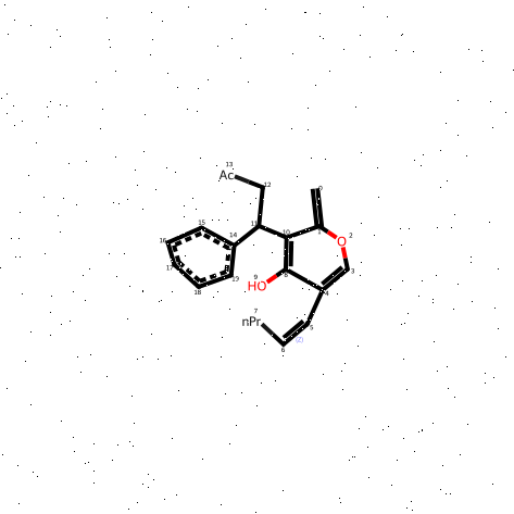 C=C1OC=C(/C=C\CCC)C(O)=C1C(CC(C)=O)c1ccccc1